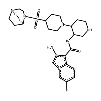 Nc1nn2cc(F)cnc2c1C(=O)NC1CNCCC1N1CCC(S(=O)(=O)N2CCN3CCC2CC3)CC1